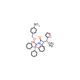 CC(=O)OC(c1ccco1)C1C(=O)N(C(C(=O)OCc2ccc([N+](=O)[O-])cc2)=P(c2ccccc2)(c2ccccc2)c2ccccc2)C1[S-].[Ag+]